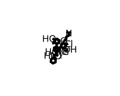 Cc1c(O)cccc1-c1ccc(C(=O)NC2CCCCC2)nc1-c1ccc(Cl)c(OCCCN(C)C)c1.Cl.O=C(O)O